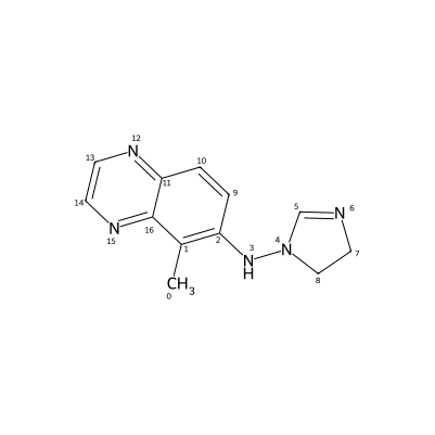 Cc1c(NN2C=NCC2)ccc2nccnc12